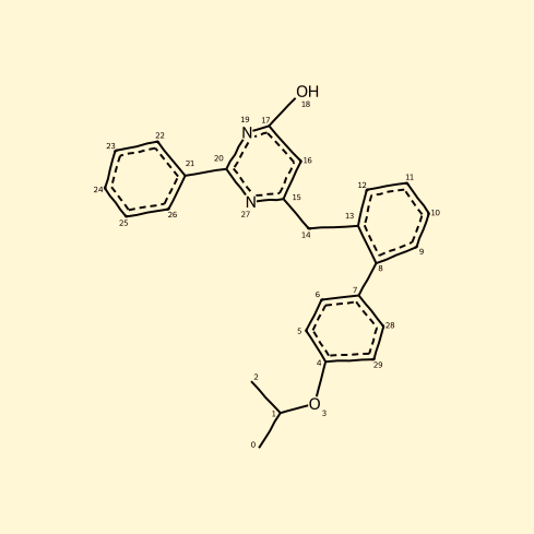 CC(C)Oc1ccc(-c2ccccc2Cc2cc(O)nc(-c3ccccc3)n2)cc1